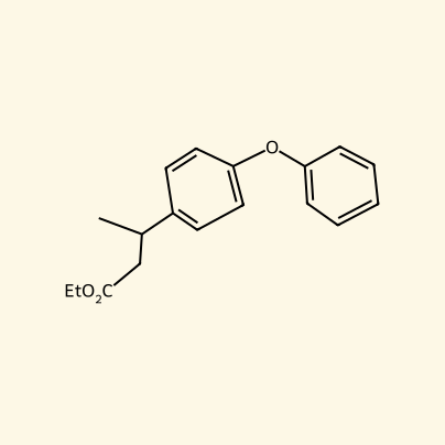 CCOC(=O)CC(C)c1ccc(Oc2ccccc2)cc1